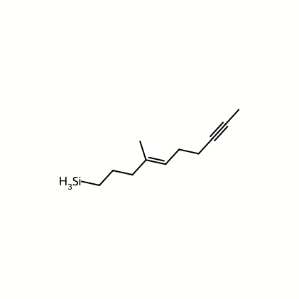 CC#CCC/C=C(\C)CCC[SiH3]